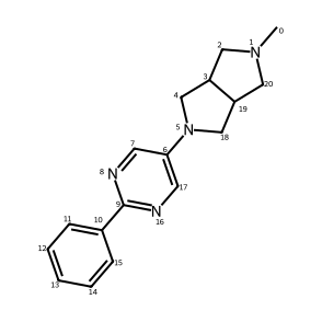 CN1CC2CN(c3cnc(-c4ccccc4)nc3)CC2C1